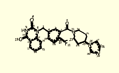 O=C(c1cc(Cn2c(=O)[nH]c(=O)c3ccccc32)ccc1F)N1CCC(n2ccnc2)CC1